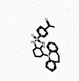 CC(=O)c1ccc(S(=N)(=O)NC2CCCC(N3c4ccccc4CCc4ccccc43)C2O)cc1